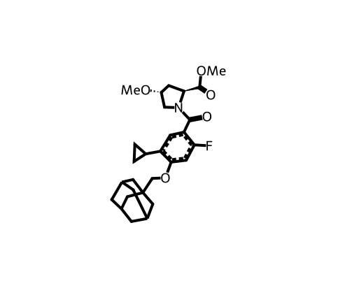 COC(=O)[C@@H]1C[C@@H](OC)CN1C(=O)c1cc(C2CC2)c(OCC23CC4CC(CC(C4)C2)C3)cc1F